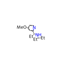 CCC(CC)NC(CC)c1cc(OC)ccn1